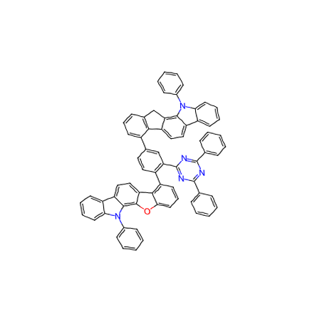 c1ccc(-c2nc(-c3ccccc3)nc(-c3cc(-c4cccc5c4-c4ccc6c7ccccc7n(-c7ccccc7)c6c4C5)ccc3-c3cccc4oc5c(ccc6c7ccccc7n(-c7ccccc7)c65)c34)n2)cc1